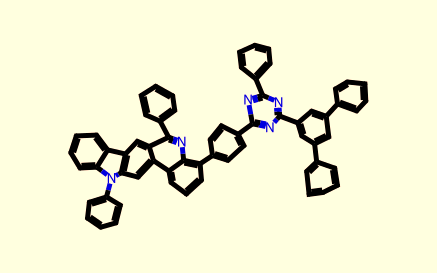 c1ccc(-c2cc(-c3ccccc3)cc(-c3nc(-c4ccccc4)nc(-c4ccc(-c5cccc6c5nc(-c5ccccc5)c5cc7c8ccccc8n(-c8ccccc8)c7cc56)cc4)n3)c2)cc1